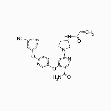 C=CC(=O)N[C@H]1CCN(c2cc(Oc3ccc(Oc4cccc(C#N)c4)cc3)c(C(N)=O)cn2)C1